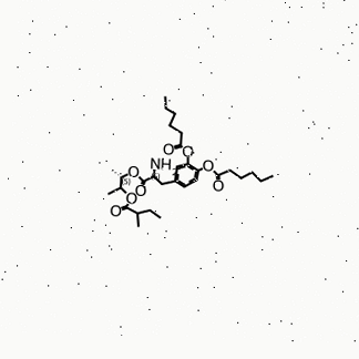 CCCCCC(=O)Oc1ccc(C[C@H](N)C(=O)O[C@@H](C)C(C)OC(=O)C(C)CC)cc1OC(=O)CCCCC